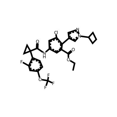 CCOC(=O)c1cc(NC(=O)C2(c3ccc(OC(F)(F)F)cc3F)CC2)cc(Cl)c1-c1cnn(C2CCC2)c1